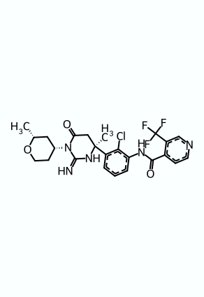 C[C@@H]1C[C@H](N2C(=N)N[C@](C)(c3cccc(NC(=O)c4ccncc4C(F)(F)F)c3Cl)CC2=O)CCO1